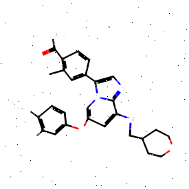 COC(=O)c1ccc(-c2cnc3c(NCC4CCOCC4)cc(Oc4ccc(OC)c(F)c4)cn23)cc1C